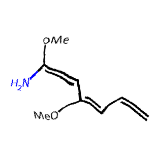 C=C/C=C(\C=C(/N)OC)OC